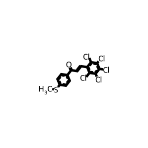 CSc1ccc(C(=O)C=Cc2c(Cl)c(Cl)c(Cl)c(Cl)c2Cl)cc1